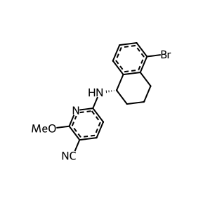 COc1nc(N[C@H]2CCCc3c(Br)cccc32)ccc1C#N